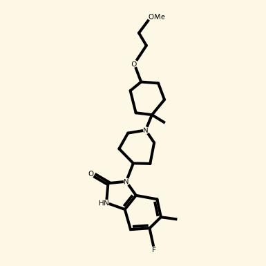 COCCOC1CCC(C)(N2CCC(n3c(=O)[nH]c4cc(F)c(C)cc43)CC2)CC1